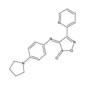 O=C1ON=C(c2ccccn2)C1=Nc1ccc(N2CCCC2)cc1